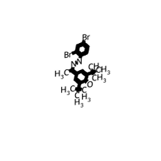 CC(N=Nc1ccc(Br)cc1Br)=C1C=C(C(C)(C)C)C(=O)C(C(C)(C)C)=C1